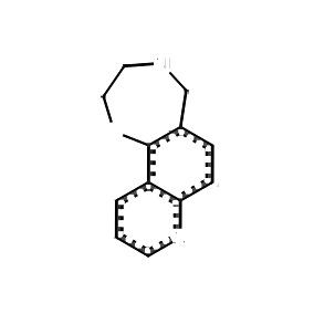 c1cnc2ccc3c(c2c1)OCCNC3